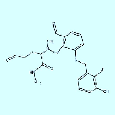 CNC(=O)C(CCC=O)N(C)Cc1c(C=O)cccc1NCc1cccc(O)c1F